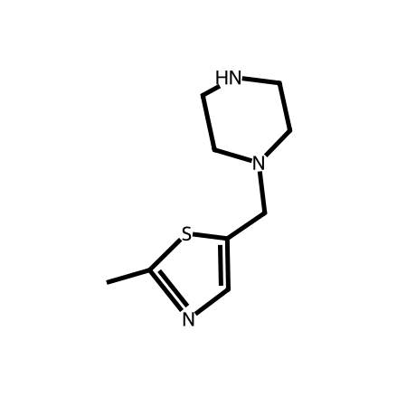 Cc1ncc(CN2CCNCC2)s1